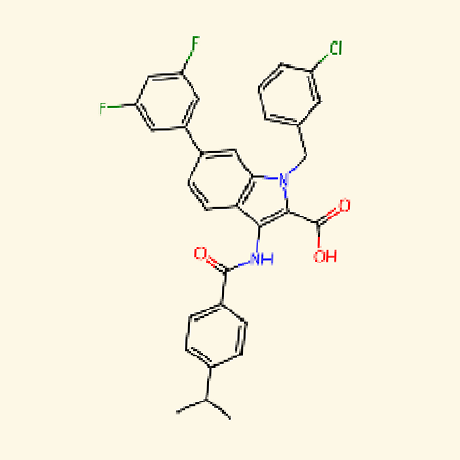 CC(C)c1ccc(C(=O)Nc2c(C(=O)O)n(Cc3cccc(Cl)c3)c3cc(-c4cc(F)cc(F)c4)ccc23)cc1